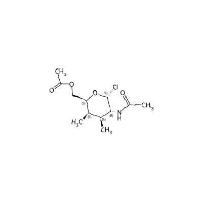 CC(=O)N[C@@H]1[C@@H](C)[C@@H](C)[C@@H](COC(C)=O)O[C@@H]1Cl